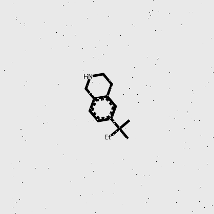 CCC(C)(C)c1ccc2c(c1)CCNC2